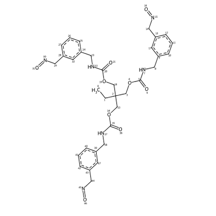 CCC(COC(=O)NCc1cccc(CN=O)c1)(COC(=O)NCc1cccc(CN=O)c1)COC(=O)NCc1cccc(CN=O)c1